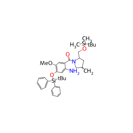 C=C1CC(CO[Si](C)(C)C(C)(C)C)N(C(=O)c2cc(OC)c(O[Si](c3ccccc3)(c3ccccc3)C(C)(C)C)cc2N)C1